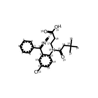 C=[N+]=C(c1ccccc1)c1cc(Cl)ccc1N(CCC(=O)O)C(=O)CC(C)(C)C